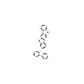 CCc1cccc2c1-c1cc3c(cc1C2(C)C)-c1ccc(-n2c4ccccc4c4ccccc42)cc1C3(C)C